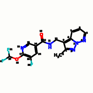 Cc1nn2ncccc2c1CNC(=O)c1cnc(OC(F)F)c(F)c1